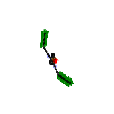 [O-][S+](c1ccccc1C/C=C/CCCCCC(F)(F)C(F)(F)C(F)(F)C(F)(F)C(F)(F)C(F)(F)C(F)(F)C(F)(F)F)c1ccccc1C/C=C/CCCCCC(F)(F)C(F)(F)C(F)(F)C(F)(F)C(F)(F)C(F)(F)C(F)(F)C(F)(F)F